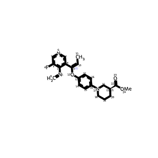 C=Nc1c(F)cncc1/C(=C\C)Oc1ccc(N2CCC[C@H](C(=O)OC)C2)cc1